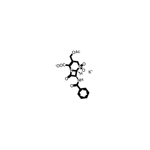 CC(=O)OCC1=C(C(=O)[O-])N2C(=O)[C@H](NC(=O)c3ccccc3)[C@@H]2S(=O)(=O)C1.[K+]